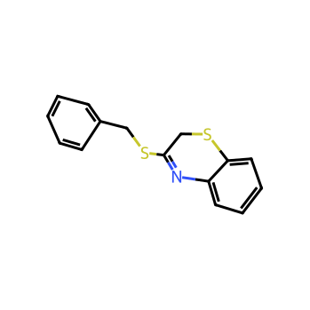 c1ccc(CSC2=Nc3ccccc3SC2)cc1